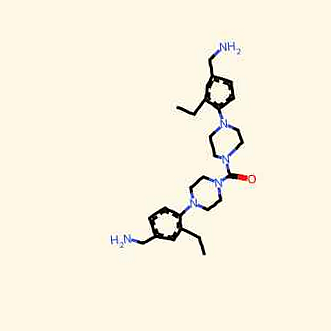 CCc1cc(CN)ccc1N1CCN(C(=O)N2CCN(c3ccc(CN)cc3CC)CC2)CC1